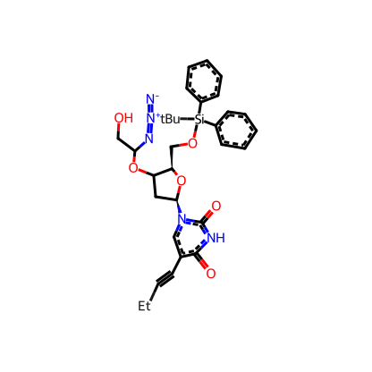 CCC#Cc1cn([C@H]2CC(OC(CO)N=[N+]=[N-])[C@@H](CO[Si](c3ccccc3)(c3ccccc3)C(C)(C)C)O2)c(=O)[nH]c1=O